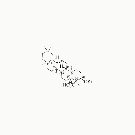 CC(=O)O[C@@H]1CC[C@@]2(C)[C@@H](CC[C@]3(C)[C@@H]2CC=C2[C@@H]4CC(C)(C)CC[C@]4(C)CC[C@]23C)[C@]1(C)C(=O)O